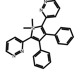 C[Si]1(C)C(c2cccnn2)=C(c2ccccc2)C(c2ccccc2)=C1c1cccnn1